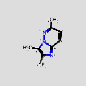 Cc1ccc2nc(C(F)(F)F)c(C)n2n1